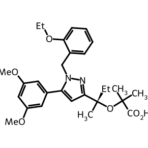 CCOc1ccccc1Cn1nc([C@](C)(CC)OC(C)(C)C(=O)O)cc1-c1cc(OC)cc(OC)c1